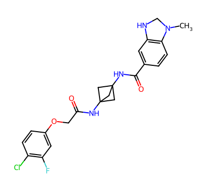 CN1CNc2cc(C(=O)NC34CC(NC(=O)COc5ccc(Cl)c(F)c5)(C3)C4)ccc21